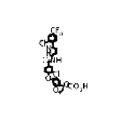 O=C(O)OC1CCOc2cc(Oc3ccc(C(=O)Nc4ccc(-c5ccc(C(F)(F)F)cc5Cl)nn4)cc3)c(Cl)cc21